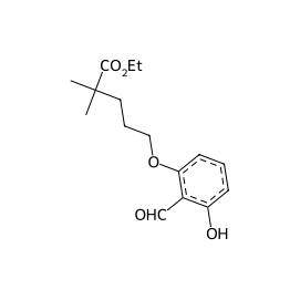 CCOC(=O)C(C)(C)CCCOc1cccc(O)c1C=O